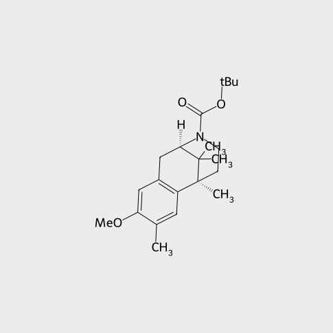 COc1cc2c(cc1C)[C@]1(C)CCN(C(=O)OC(C)(C)C)[C@H](C2)C1(C)C